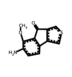 COc1c(N)ccc2c1C(=O)c1cscc1-2